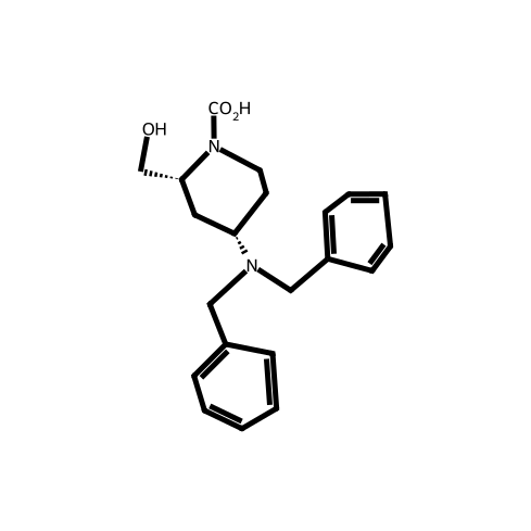 O=C(O)N1CC[C@H](N(Cc2ccccc2)Cc2ccccc2)C[C@@H]1CO